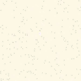 CC(=O)Nc1nc(/C=C/c2ccc(NC3=NCCS3)cc2)cs1